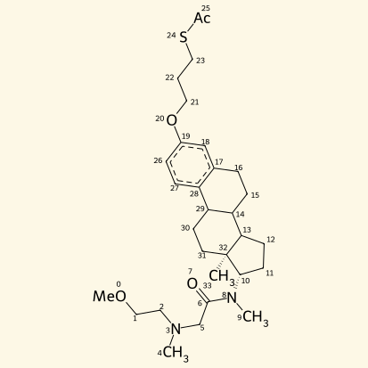 COCCN(C)CC(=O)N(C)[C@H]1CCC2C3CCc4cc(OCCCSC(C)=O)ccc4C3CC[C@@]21C